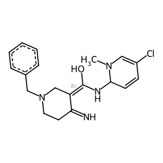 CN1C=C(Cl)C=CC1N/C(O)=C1/CN(Cc2ccccc2)CCC1=N